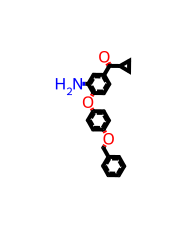 Nc1cc(C(=O)C2CC2)ccc1Oc1ccc(OCc2ccccc2)cc1